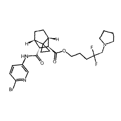 O=C(OCCCC(F)(F)CN1CCCC1)[C@H]1[C@H](C(=O)Nc2ccc(Br)nc2)[C@@H]2CC[C@H]1C21CC1